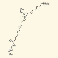 CCC(C)/C=C/CNC(=O)CCOCCOCCO[C@](C)(CCOCCOCCNC)SSC(C)(C)C